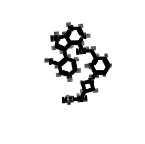 CNC1CN(c2cccc(CNc3ncnc4[nH]cc(-c5ccncc5F)c34)n2)C1